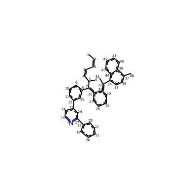 C/C=C\C=C/C(C)/C(c1cccc(-c2ccnc(-c3ccccc3)c2)c1)=c1/cccc/c1=C(/C)c1ccc(C)c2ccccc12